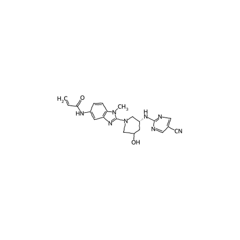 C=CC(=O)Nc1ccc2c(c1)nc(N1CC(O)C[C@@H](Nc3ncc(C#N)cn3)C1)n2C